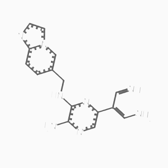 N=C/C(=C\N)c1cnc(N)c(NCc2ccc3nccn3c2)n1